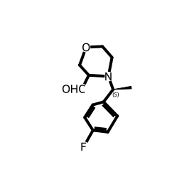 C[C@@H](c1ccc(F)cc1)N1CCOCC1C=O